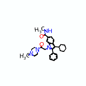 CNC(=O)c1ccc2c(C3CCCCC3)c(-c3ccccc3)n(CC(=O)N3CCN(C)CC3)c2c1